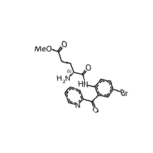 COC(=O)CC[C@H](N)C(=O)Nc1ccc(Br)cc1C(=O)c1ccccn1